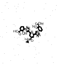 O=C(NC1CC1)c1cc(-c2cn(-c3cccc(C(=O)O)c3O)nn2)nc(-c2cn(-c3cccc(C(=O)O)c3O)nn2)c1